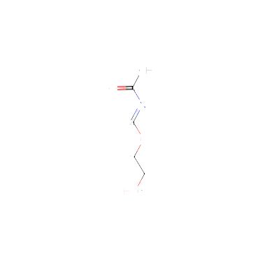 CC(=O)/N=[C]/OCCO